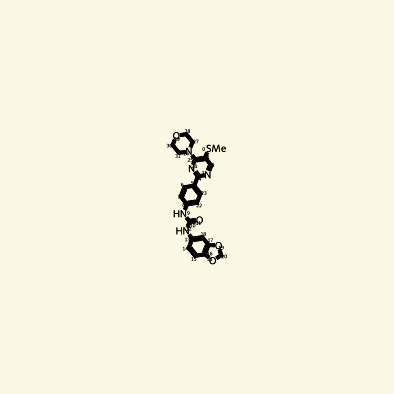 CSc1cnc(-c2ccc(NC(=O)Nc3ccc4c(c3)OCO4)cc2)nc1N1CCOCC1